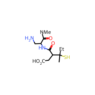 CCC(C)(S)C(CC(=O)O)C(=O)NC(CN)C(=O)NC